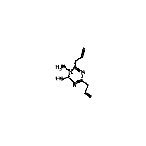 C=CCC1=NC(S)N(N)C(CC=C)=N1